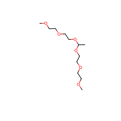 COCCOCCOC(C)OCCOCCOC